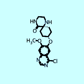 COc1cc2ncnc(Cl)c2cc1O[C@H]1CC[C@@]2(CC1)NCCNC2=O